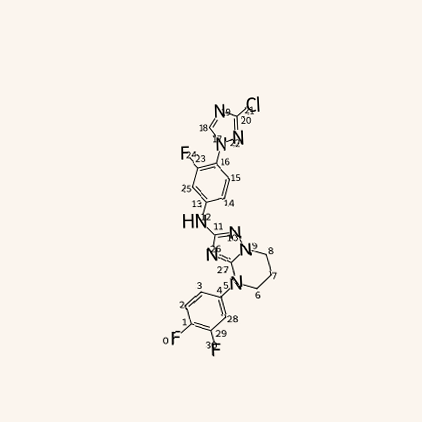 Fc1ccc(N2CCCn3nc(Nc4ccc(-n5cnc(Cl)n5)c(F)c4)nc32)cc1F